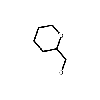 [O]CC1CCCCO1